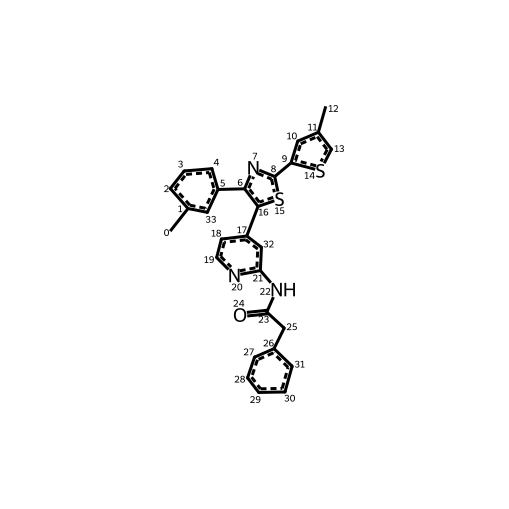 Cc1cccc(-c2nc(-c3cc(C)cs3)sc2-c2ccnc(NC(=O)Cc3ccccc3)c2)c1